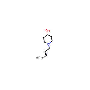 O=C(O)/C=C/CN1CCC(O)CC1